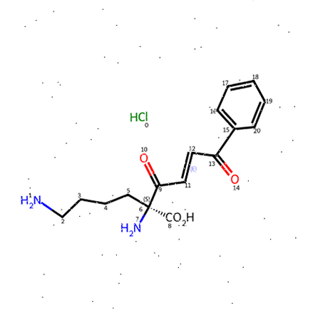 Cl.NCCCC[C@@](N)(C(=O)O)C(=O)/C=C/C(=O)c1ccccc1